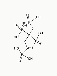 O=P(O)(O)CCC(CP(=O)(O)O)(P(=O)(O)O)P(=O)(O)O